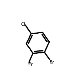 [CH2]C(C)c1cc(Cl)ccc1Br